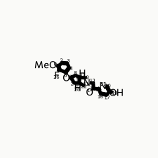 COc1cccc(O[C@H]2C[C@@H]3CN(CC(=O)c4ccc(O)cn4)C[C@@H]3C2)c1F